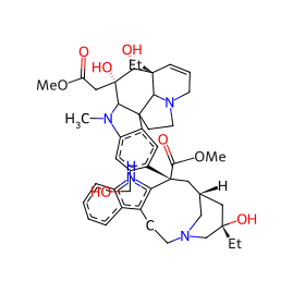 CC[C@]1(O)C[C@@H]2CN(CCc3c([nH]c4ccccc34)[C@@](C(=O)OC)(c3cc4c(cc3CO)N(C)C3C45CCN4CC=C[C@](CC)(C45)[C@@H](O)[C@]3(O)CC(=O)OC)C2)C1